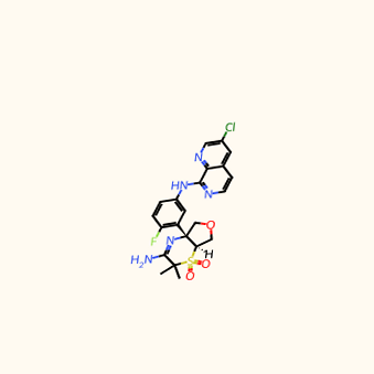 CC1(C)C(N)=N[C@]2(c3cc(Nc4nccc5cc(Cl)cnc45)ccc3F)COC[C@H]2S1(=O)=O